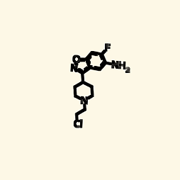 Nc1cc2c(C3CCN(CCCl)CC3)noc2cc1F